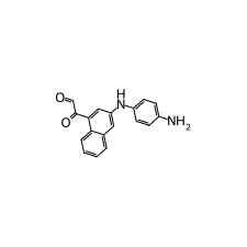 Nc1ccc(Nc2cc(C(=O)C=O)c3ccccc3c2)cc1